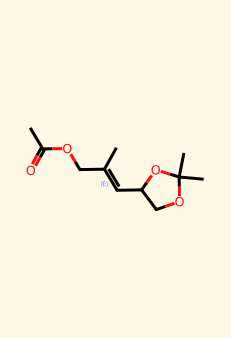 CC(=O)OC/C(C)=C/C1COC(C)(C)O1